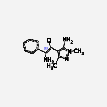 Cc1nn(C)c(N)c1/C(Cl)=C(\N)c1ccccc1